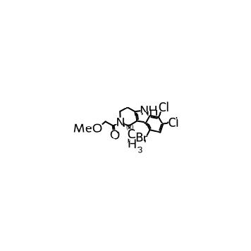 COCC(=O)N1CCc2[nH]c3c(Cl)c(Cl)cc(Br)c3c2[C@H]1C